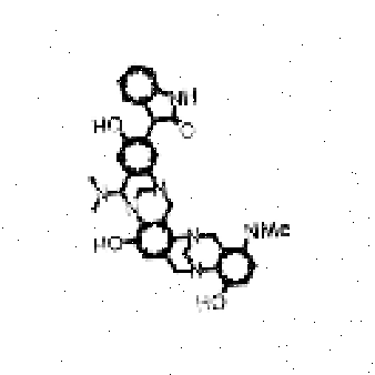 CNc1ccc(O)c2c1CN1CN2Cc2cc(O)c3c(c21)CN1CN3C(N(C)C)c2cc(O)c(C3C(=O)Nc4ccccc43)cc21